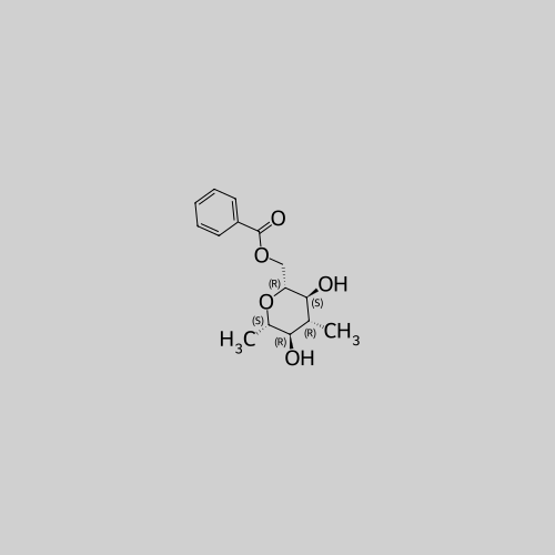 C[C@@H]1[C@@H](O)[C@H](C)O[C@H](COC(=O)c2ccccc2)[C@H]1O